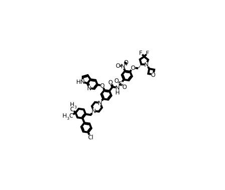 CC1(C)CCC(CN2CCN(c3ccc(C(=O)NS(=O)(=O)c4ccc(OC[C@@H]5CC(F)(F)CN5C5COC5)c([N+](=O)[O-])c4)c(Oc4cnc5[nH]ccc5c4)c3)CC2)=C(c2ccc(Cl)cc2)C1